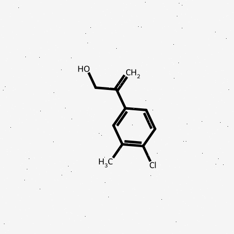 C=C(CO)c1ccc(Cl)c(C)c1